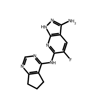 Nc1n[nH]c2nc(Nc3ncnc4c3CCC4)c(F)cc12